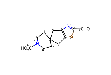 O=Cc1nc2c(s1)CC1(CCN(C(=O)O)CC1)C2